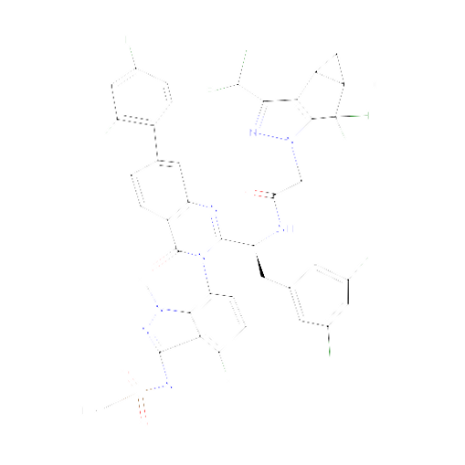 Cn1nc(NS(C)(=O)=O)c2c(Cl)ccc(-n3c([C@H](Cc4cc(F)cc(F)c4)NC(=O)Cn4nc(C(F)F)c5c4C(F)(F)[C@@H]4CC54)nc4cc(-c5ccc(F)cc5F)ccc4c3=O)c21